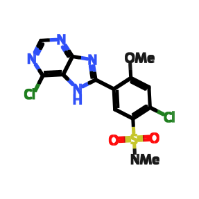 CNS(=O)(=O)c1cc(-c2nc3ncnc(Cl)c3[nH]2)c(OC)cc1Cl